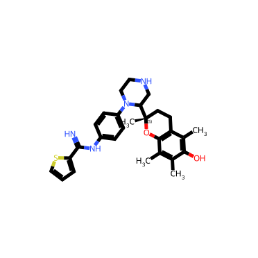 Cc1c(C)c2c(c(C)c1O)CC[C@@](C)(C1CNCCN1c1ccc(NC(=N)c3cccs3)cc1)O2